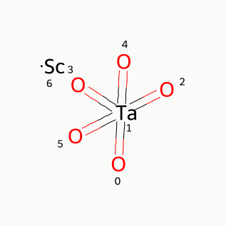 [O]=[Ta](=[O])(=[O])(=[O])=[O].[Sc]